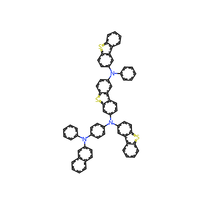 c1ccc(N(c2ccc(N(c3ccc4c(c3)sc3ccc(N(c5ccccc5)c5ccc6sc7ccccc7c6c5)cc34)c3ccc4sc5ccccc5c4c3)cc2)c2ccc3ccccc3c2)cc1